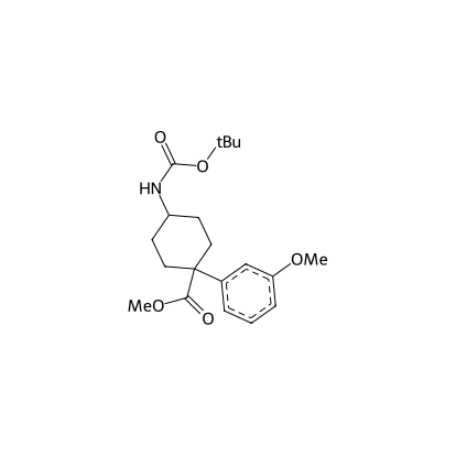 COC(=O)C1(c2cccc(OC)c2)CCC(NC(=O)OC(C)(C)C)CC1